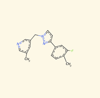 Cc1cncc(Cn2ccc(-c3ccc(C)c(F)c3)n2)c1